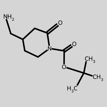 CC(C)(C)OC(=O)N1CCC(CN)CC1=O